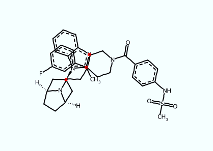 Cc1nc2ccccc2n1[C@H]1C[C@H]2CC[C@@H](C1)N2CCC1(c2cccc(F)c2)CCN(C(=O)c2ccc(NS(C)(=O)=O)cc2)CC1